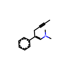 CC#CC/C(=C\N(C)C)c1ccccc1